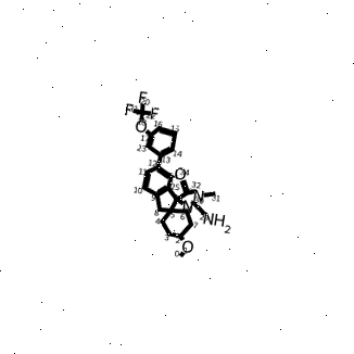 COC1CCC2(CC1)Cc1ccc(-c3cccc(OC(F)(F)F)c3)cc1C21N=C(N)N(C)CC1=O